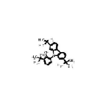 Cc1c(-n2c3cc(C(C)(C)C)ccc3c3ccc(C(C)(C)C)cc32)cccc1C(C)(C)C